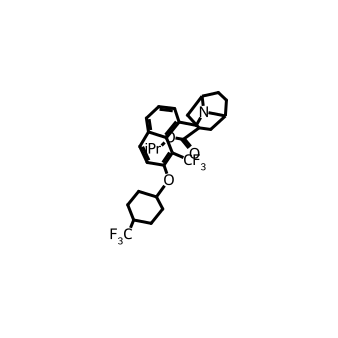 CC(C)OC(=O)C1CC2CCC(C1)N2Cc1cccc2ccc(OC3CCC(C(F)(F)F)CC3)c(C(F)(F)F)c12